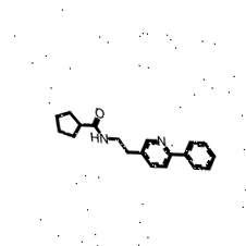 O=C(NCCc1ccc(-c2ccccc2)nc1)C1CCCC1